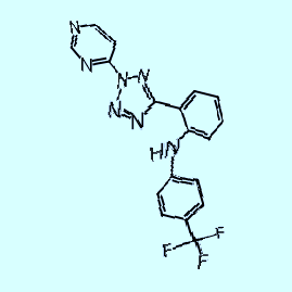 FC(F)(F)c1ccc(Nc2ccccc2-c2nnn(-c3ccncn3)n2)cc1